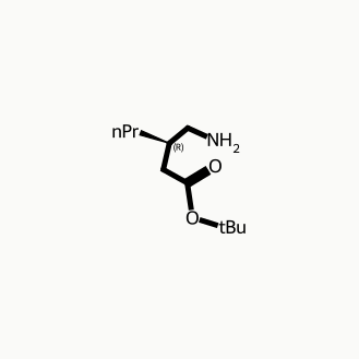 CCC[C@@H](CN)CC(=O)OC(C)(C)C